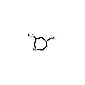 CC1CNCCN(N)C1